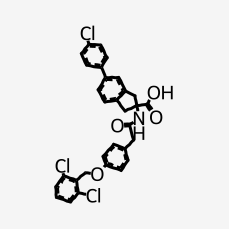 O=C(Cc1ccc(OCc2c(Cl)cccc2Cl)cc1)NC1(C(=O)O)Cc2ccc(-c3ccc(Cl)cc3)cc2C1